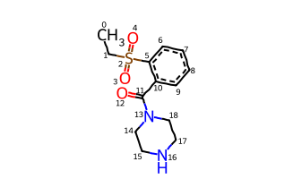 CCS(=O)(=O)c1ccccc1C(=O)N1CCNCC1